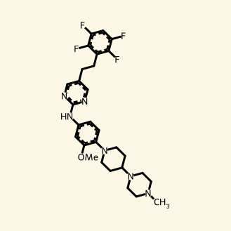 COc1cc(Nc2ncc(CCc3c(F)c(F)cc(F)c3F)cn2)ccc1N1CCC(N2CCN(C)CC2)CC1